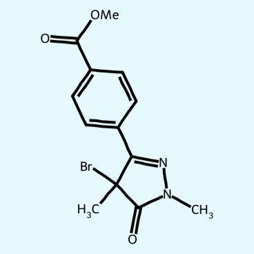 COC(=O)c1ccc(C2=NN(C)C(=O)C2(C)Br)cc1